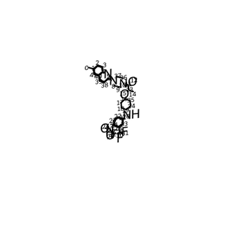 Cc1ccc2nc(N3CCN(C(=O)C(C)O[C@H]4CC[C@H](Nc5ccc([N+](=O)[O-])c(C(F)(F)F)c5)CC4)CC3)ccc2c1